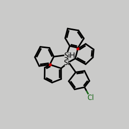 Clc1ccc([Si](c2ccccc2)(c2ccccc2)[SiH](c2ccccc2)c2ccccc2)cc1